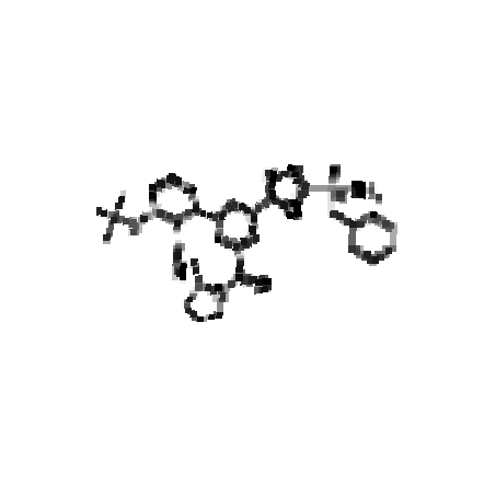 CC1CCCN1C(=O)c1cc(-c2nnc([C@](C)(N)Cc3ccccc3)o2)cc(-c2cccc(SC(C)(C)C)c2C#N)c1